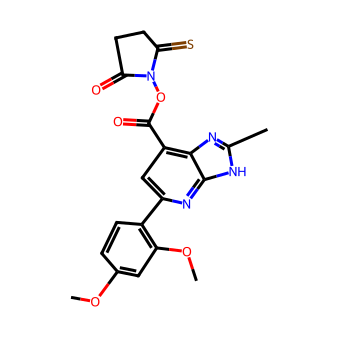 COc1ccc(-c2cc(C(=O)ON3C(=O)CCC3=S)c3nc(C)[nH]c3n2)c(OC)c1